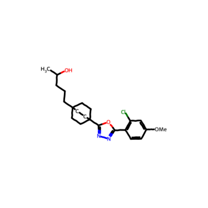 COc1ccc(-c2nnc(C34CCC(CCCC(C)O)(CC3)CC4)o2)c(Cl)c1